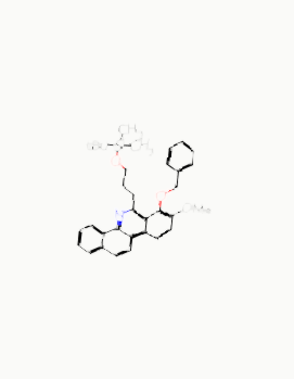 COc1ccc2c(c(CCCO[Si](C)(C)C(C)(C)C)nc3c4ccccc4ccc23)c1OCc1ccccc1